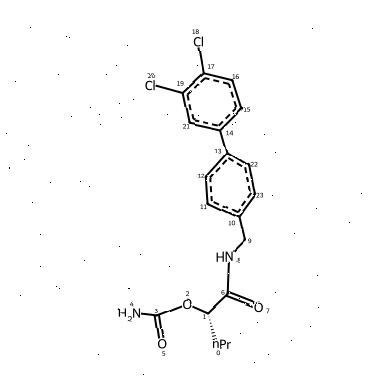 CCC[C@H](OC(N)=O)C(=O)NCc1ccc(-c2ccc(Cl)c(Cl)c2)cc1